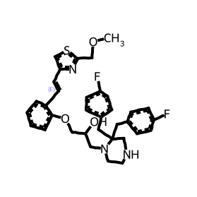 COCc1nc(/C=C/c2ccccc2OCC(O)CN2CCNCC2(Cc2ccc(F)cc2)Cc2ccc(F)cc2)cs1